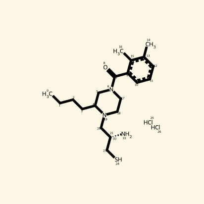 CCCCC1CN(C(=O)c2cccc(C)c2C)CCN1C[C@H](N)CS.Cl.Cl